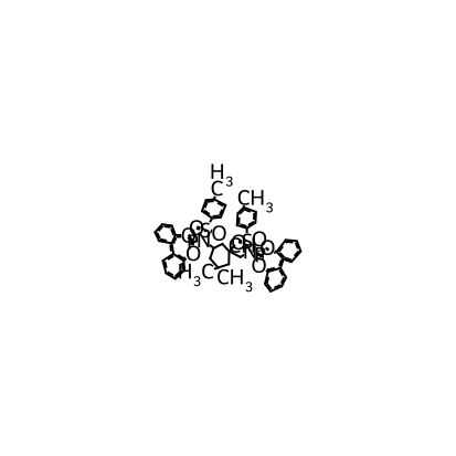 Cc1ccc(S(=O)(=O)N(CC2(C)CC(N(p3oc4ccccc4c4ccccc4o3)S(=O)(=O)c3ccc(C)cc3)CC(C)(C)C2)p2oc3ccccc3c3ccccc3o2)cc1